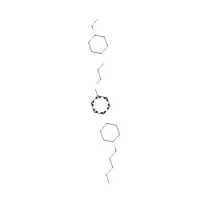 CCCCC[C@H]1CC[C@H](c2ccc(OCCC[C@H]3CC[C@H](CC)CC3)cc2)CC1